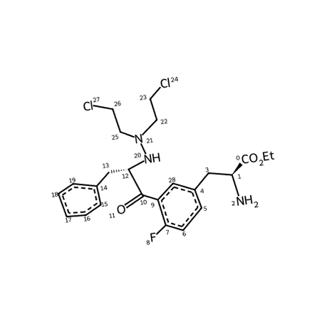 CCOC(=O)[C@@H](N)Cc1ccc(F)c(C(=O)[C@H](Cc2ccccc2)NN(CCCl)CCCl)c1